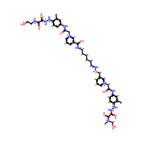 Cc1cc(NC(=O)C[n+]2cccc(C(=O)NCCCCCCNOCc3ccc[n+](CC(=O)Nc4ccc(NNC(=O)C(=O)N(C)CO)c(C)c4)c3)c2)ccc1NNC(=O)C(=O)NCCO